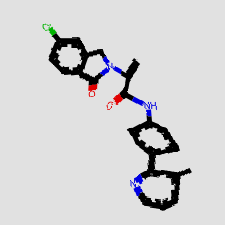 C=C(C(=O)Nc1ccc(-c2ncccc2C)cc1)N1Cc2cc(Cl)ccc2C1=O